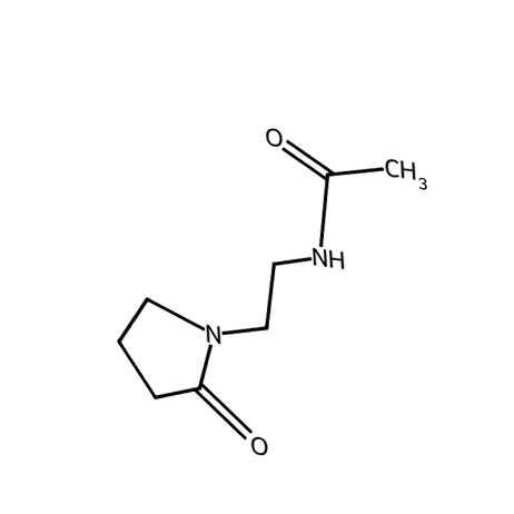 CC(=O)NCCN1CCCC1=O